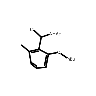 CCCCOc1cccc(C)c1C(Cl)NC(C)=O